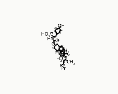 CC(C)CCC[C@@H](C)[C@H]1CC[C@H]2[C@@H]3CC=C4C[C@@H](OC(=O)NC(Cc5ccc(O)cc5)C(=O)O)CCC4(C)[C@H]3CCC12C